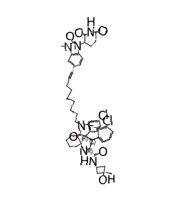 CN1[C@@H](C(=O)N[C@H]2C[C@@](C)(O)C2)[C@H](c2cccc(Cl)c2F)[C@]2(C(=O)N(CCCCCCCC#Cc3ccc4c(c3)n(C)c(=O)n4C3CCC(=O)NC3=O)c3cc(Cl)ccc32)C12CCCCC2